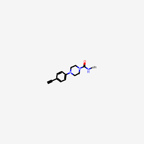 C#Cc1ccc(N2CCN(C(=O)NCCC)CC2)cc1